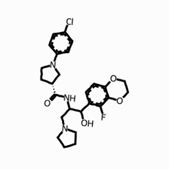 O=C(NC(CN1CCCC1)C(O)c1ccc2c(c1F)OCCO2)[C@@H]1CCN(c2ccc(Cl)cc2)C1